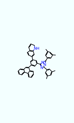 Cc1cc(C)cc(C2N=C(c3cc(-c4ccc5c(c4)NCC=C5)cc(-c4cc5ccccc5c5ccccc45)c3)N3C(c4cc(C)cc(C)c4)N23)c1